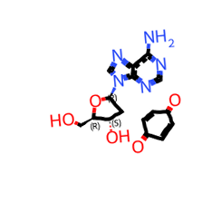 Nc1ncnc2c1ncn2[C@H]1C[C@H](O)[C@@H](CO)O1.O=C1C=CC(=O)C=C1